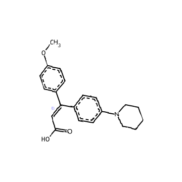 COc1ccc(/C(=C/C(=O)O)c2ccc(N3CCCCC3)cc2)cc1